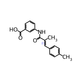 C/C(=C\c1ccc(C)cc1)C(=O)Nc1cccc(C(=O)O)c1